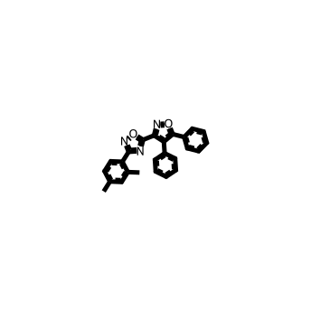 Cc1ccc(-c2noc(-c3noc(-c4ccccc4)c3-c3ccccc3)n2)c(C)c1